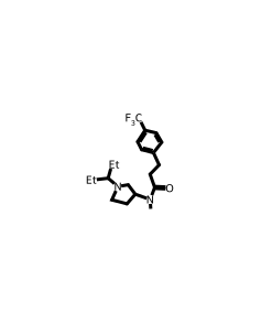 CCC(CC)N1CCC(N(C)C(=O)CCc2ccc(C(F)(F)F)cc2)C1